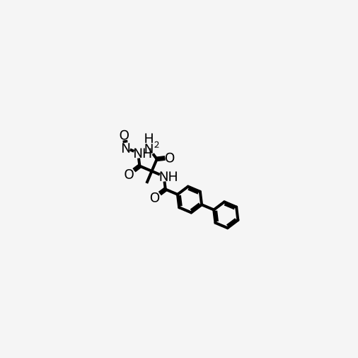 CC(NC(=O)c1ccc(-c2ccccc2)cc1)(C(N)=O)C(=O)NN=O